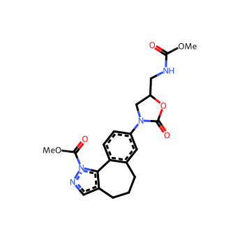 COC(=O)NCC1CN(c2ccc3c(c2)CCCc2cnn(C(=O)OC)c2-3)C(=O)O1